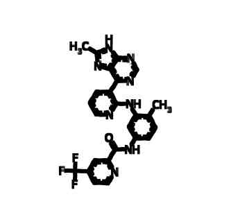 Cc1nc2c(-c3cccnc3Nc3cc(NC(=O)c4cc(C(F)(F)F)ccn4)ccc3C)ncnc2[nH]1